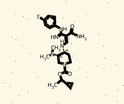 CC(OC(=O)N1CC[C@@H](N/C=C(\C(=N)Nc2ccc(F)cc2)C(N)=O)[C@H](N(C)C)C1)C1CC1